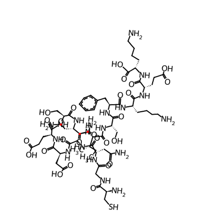 CC[C@H](C)[C@H](NC(=O)[C@H](CC(N)=O)NC(=O)[C@H](CO)NC(=O)[C@H](CCC(=O)O)NC(=O)[C@H](CC(=O)O)NC(=O)[C@H](CC(N)=O)NC(=O)[C@H](CC(N)=O)NC(=O)CNC(=O)[C@@H](N)CS)C(=O)N[C@@H](CO)C(=O)N[C@@H](Cc1ccccc1)C(=O)N[C@@H](CCCCN)C(=O)N[C@@H](CCC(=O)O)C(=O)N[C@@H](CCCCN)C(=O)O